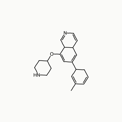 CC1=CC(C2=CC3C=CN=CC3C(OC3CCNCC3)=C2)CC=C1